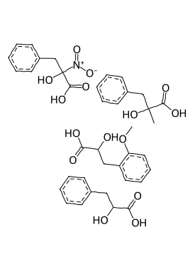 CC(O)(Cc1ccccc1)C(=O)O.COc1ccccc1CC(O)C(=O)O.O=C(O)C(O)(Cc1ccccc1)[N+](=O)[O-].O=C(O)C(O)Cc1ccccc1